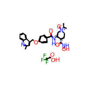 Cc1cc(COc2ccc(C(=O)N[C@@H]3C[N+]([O-])(C(C)C)CC[C@@H]3C(=O)NO)cc2)c2ccccc2n1.O=C(O)C(F)(F)F